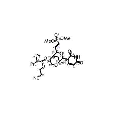 COP(=O)(/C=C/C1OC(n2ccc(=O)[nH]c2=O)[C@H]2C[C@H]1[C@@H](OP(OCCC#N)N(C(C)C)C(C)C)CO2)OC